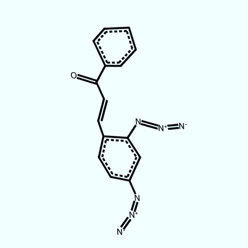 [N-]=[N+]=Nc1ccc(C=CC(=O)c2ccccc2)c(N=[N+]=[N-])c1